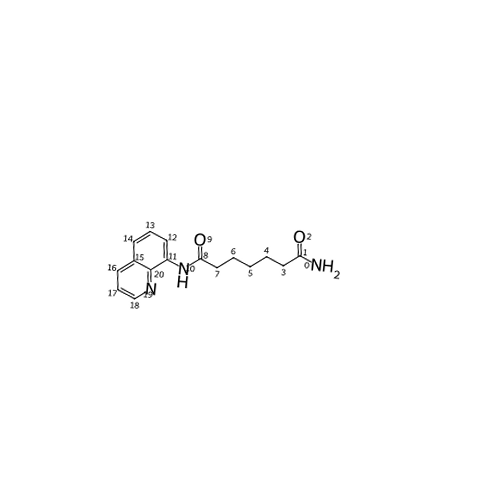 NC(=O)CCCCCC(=O)Nc1cccc2cccnc12